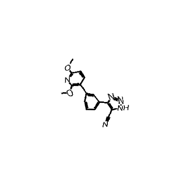 COc1ccc(-c2cccc(-c3nn[nH]c3C#N)c2)c(OC)n1